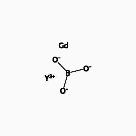 [Gd].[O-]B([O-])[O-].[Y+3]